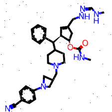 CN/C=N\NCC1=C[C@H](C(c2ccccc2)C2CCN(CC3CN(c4ccc(C#N)cc4)C3)CC2)[C@@H](OC(=O)NC)C1